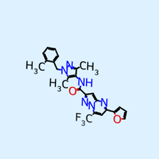 Cc1ccccc1Cn1nc(C)c(NC(=O)c2cc3nc(-c4ccco4)cc(C(F)(F)F)n3n2)c1C